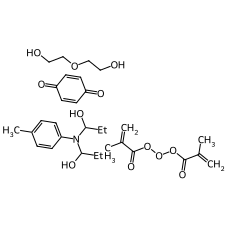 C=C(C)C(=O)OOOC(=O)C(=C)C.CCC(O)N(c1ccc(C)cc1)C(O)CC.O=C1C=CC(=O)C=C1.OCCOCCO